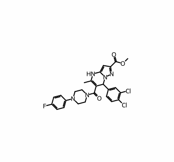 COC(=O)c1cc2n(n1)C(c1ccc(Cl)c(Cl)c1)C(C(=O)N1CCN(c3ccc(F)cc3)CC1)=C(C)N2